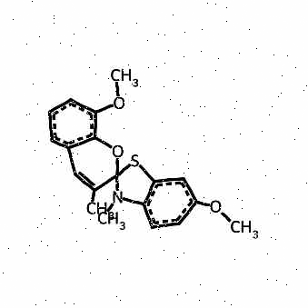 COc1ccc2c(c1)SC1(Oc3c(cccc3OC)C=C1C)N2C